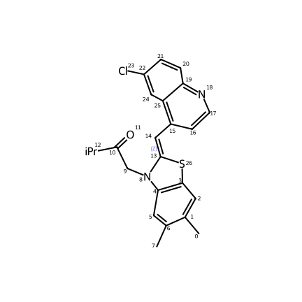 Cc1cc2c(cc1C)N(CC(=O)C(C)C)/C(=C/c1ccnc3ccc(Cl)cc13)S2